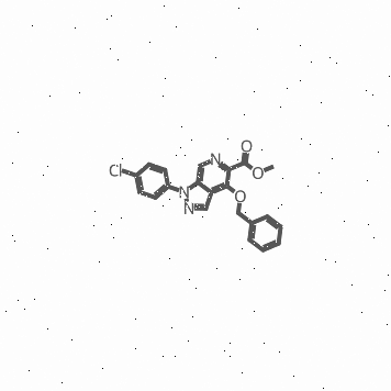 COC(=O)c1ncc2c(cnn2-c2ccc(Cl)cc2)c1OCc1ccccc1